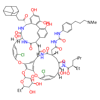 CC[C@H](CC(C)C)C(=O)N[C@H]1C(=O)C[C@@H](CC(=O)NC(=O)Nc2ccc(CCCNC)cc2)C(=O)N[C@H]2C(=O)C[C@H]3C(=O)N[C@H](C(=O)N[C@H](C(=O)CC4C5CC6CC(C5)CC4C6)c4cc(O)cc(O)c4-c4cc3ccc4O)[C@H](O)c3ccc(c(Cl)c3)Oc3cc2cc(c3O[C@@H]2O[C@H](CC)[C@@H](O)[C@H](O)[C@H]2O)Oc2ccc(cc2Cl)[C@H]1O